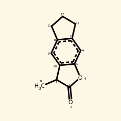 CC1C(=O)Oc2cc3c(cc21)CCC3